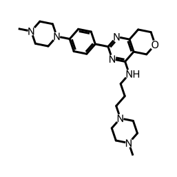 CN1CCN(CCCNc2nc(-c3ccc(N4CCN(C)CC4)cc3)nc3c2COCC3)CC1